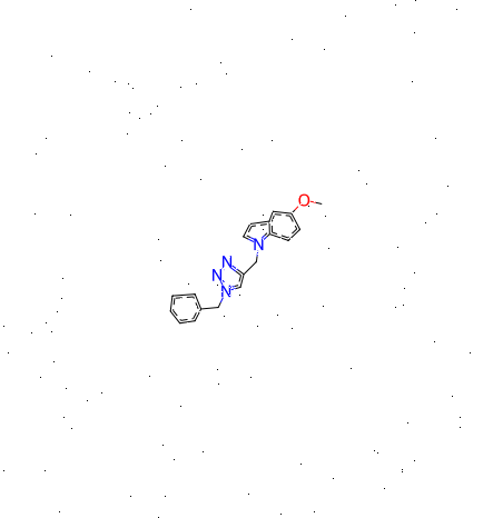 COc1ccc2c(ccn2Cc2cn(Cc3ccccc3)nn2)c1